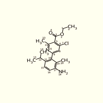 CCOC(=O)c1c(Cl)cc(-c2c(C(C)C)ccc(N)c2C)nc1C